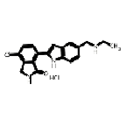 CCNCc1ccc2[nH]c(-c3ccc(Cl)c4c3C(=O)NC4)cc2c1.Cl